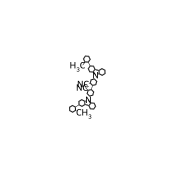 Cc1ccccc1-c1ccc2c(c1)c1ccccc1n2-c1ccc(-c2ccc(-n3c4ccccc4c4cc(-c5ccccc5C)ccc43)cc2C#N)c(C#N)c1